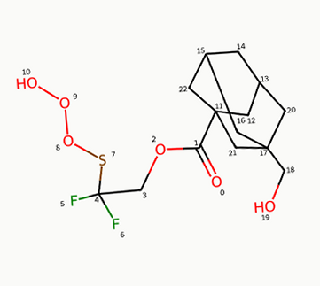 O=C(OCC(F)(F)SOOO)C12CC3CC(CC(CO)(C3)C1)C2